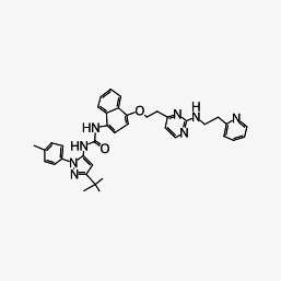 Cc1ccc(-n2nc(C(C)(C)C)cc2NC(=O)Nc2ccc(OCCc3ccnc(NCCc4ccccn4)n3)c3ccccc23)cc1